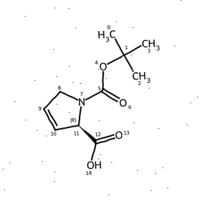 CC(C)(C)OC(=O)N1CC=C[C@@H]1C(=O)O